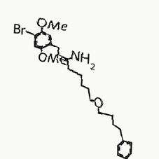 COc1cc(CCC(N)CCCCCOCCCCc2ccccc2)c(OC)cc1Br